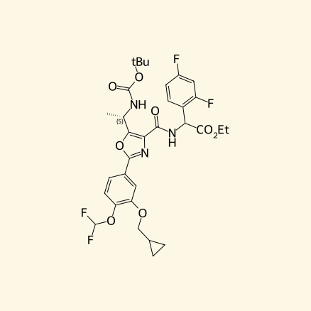 CCOC(=O)C(NC(=O)c1nc(-c2ccc(OC(F)F)c(OCC3CC3)c2)oc1[C@H](C)NC(=O)OC(C)(C)C)c1ccc(F)cc1F